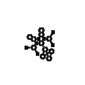 N#Cc1cc(C#N)cc(N2c3cc4ccccc4cc3B3c4cc5ccccc5cc4N(c4cc(C#N)cc(C#N)c4)c4cc(-c5ccc6c(c5)-c5ccccc5C65c6ccccc6-c6ccccc65)cc2c43)c1